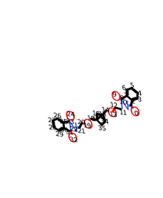 O=C1c2ccccc2C(=O)N1CCOCC1CC2(COCCN3C(=O)c4ccccc4C3=O)CC1C2